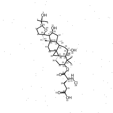 CC(C)(O)[C@@H]1CC[C@](C)(C2[C@@H](O)C[C@@]3(C)C4C[C@H](O)[C@H]5C(C)(C)[C@@H](OC(=O)[C@H](CCC(=O)O)NCl)CC[C@@]56CC46CC[C@]23C)O1